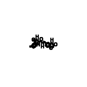 C=C1CC2NC1c1c2nc(C(=O)NCc2ccc3c(c2)NC(=O)CO3)[nH]c1=O